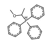 COC(C)[PH](c1ccccc1)(c1ccccc1)c1ccccc1